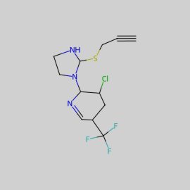 C#CCSC1NCCN1C1N=CC(C(F)(F)F)CC1Cl